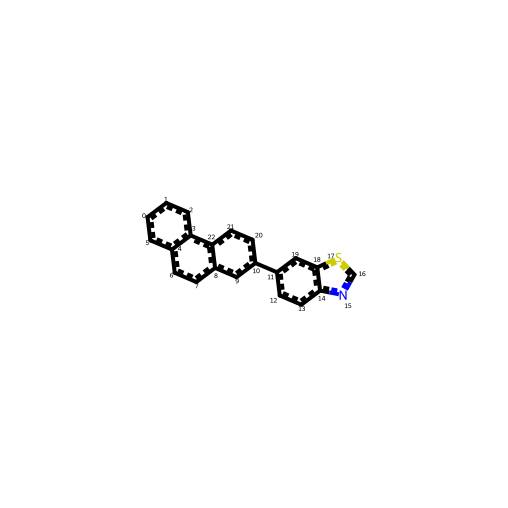 c1ccc2c(c1)ccc1cc(-c3ccc4ncsc4c3)ccc12